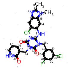 Cc1nc2cc(Cl)c(Nc3nc(=O)n(Cc4ccc[nH]c4=O)c(=O)n3Cc3cc(F)cc(Cl)c3)cc2n1C